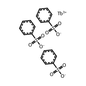 O=S(=O)([O-])c1ccccc1.O=S(=O)([O-])c1ccccc1.O=S(=O)([O-])c1ccccc1.[Tb+3]